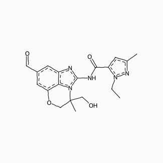 CCn1nc(C)cc1C(=O)Nc1nc2cc(C=O)cc3c2n1C(C)(CO)CO3